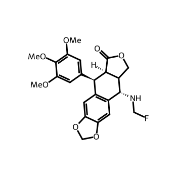 COc1cc([C@@H]2c3cc4c(cc3[C@@H](NCF)C3COC(=O)[C@@H]32)OCO4)cc(OC)c1OC